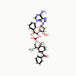 CC(COC(=O)OC(C(=O)c1ccccc1)[C@H]1O[C@@H](n2cnc3c(N)ncnc32)C[C@@H]1O)c1cc(C(=O)c2ccccc2)ccc1[N+](=O)[O-]